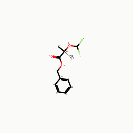 C[C@@](OC(F)F)(C(=O)OCc1ccccc1)C(F)(F)F